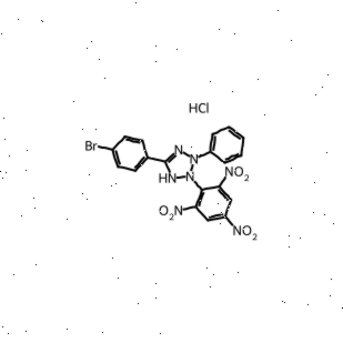 Cl.O=[N+]([O-])c1cc([N+](=O)[O-])c(N2NC(c3ccc(Br)cc3)=NN2c2ccccc2)c([N+](=O)[O-])c1